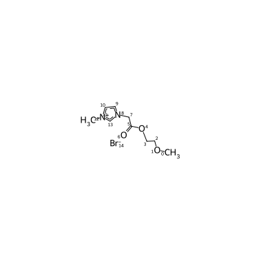 COCCOC(=O)Cn1cc[n+](C)c1.[Br-]